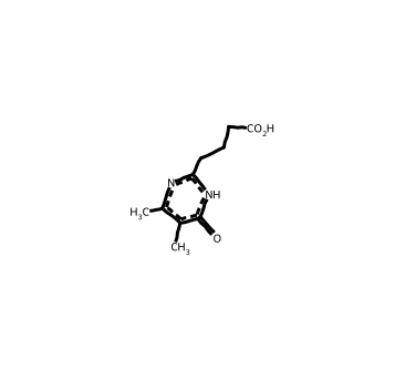 Cc1nc(CCCC(=O)O)[nH]c(=O)c1C